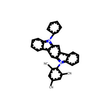 N#Cc1cc(C#N)c(-n2c3ccccc3c3cc4c(cc32)c2ccccc2n4-c2ccccc2)c(C#N)c1